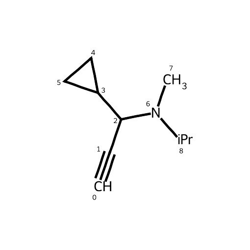 C#CC(C1CC1)N(C)C(C)C